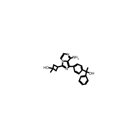 CC1(O)CC(c2nc(-c3ccc(C(C)(O)c4ccccc4)cc3)c3c(N)nccn23)C1